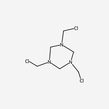 ClCN1CN(CCl)CN(CCl)C1